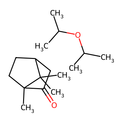 CC(C)OC(C)C.CC12CCC(CC1=O)C2(C)C